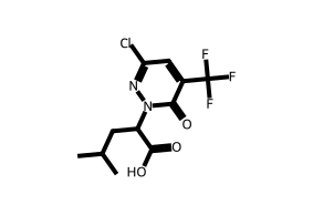 CC(C)CC(C(=O)O)n1nc(Cl)cc(C(F)(F)F)c1=O